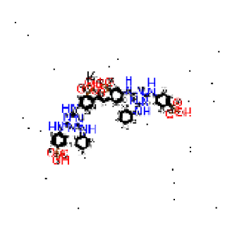 O=S(=O)(O)c1ccc(Nc2nc(Nc3ccccc3)nc(Nc3ccc(C=Cc4ccc(Nc5nc(Nc6ccccc6)nc(Nc6ccc(S(=O)(=O)O)cc6)n5)cc4S(=O)(=O)O)c(S(=O)(=O)O)c3)n2)cc1.[K]